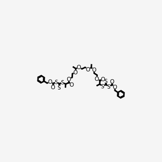 CC(OCCOC(=O)C(C)SC(=S)SC(=O)OCc1ccccc1)OCCOC(C)OCCOC(=O)C(C)SC(=S)SC(=O)OCc1ccccc1